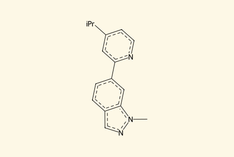 CC(C)c1ccnc(-c2ccc3cnn(C)c3c2)c1